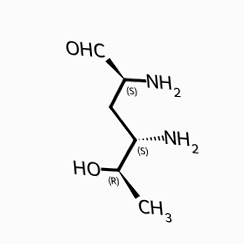 C[C@@H](O)[C@@H](N)C[C@H](N)C=O